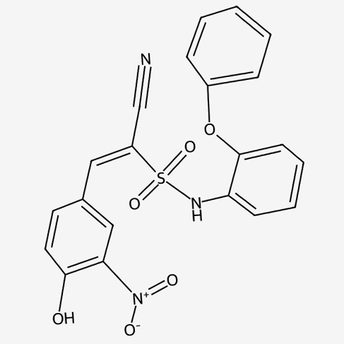 N#CC(=Cc1ccc(O)c([N+](=O)[O-])c1)S(=O)(=O)Nc1ccccc1Oc1ccccc1